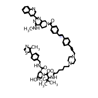 CNc1nc(-c2cnc3ccccc3c2)nc2c1CCN(C(=O)c1ccc(/C=C/c3ccc(C#CCN4CCN(CCCCCC(=O)N[C@H](C(=O)N5C[C@H](O)C[C@H]5C(=O)NCc5ccc(-c6scnc6C)cc5)C(C)(C)C)CC4)cc3)cc1)C2